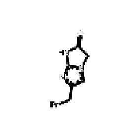 CC(C)Cc1cn2c(n1)NC(=O)C2